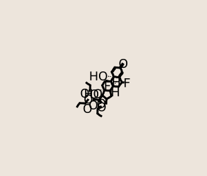 CCC(=O)OC(OC(=O)CC)(OC(=O)CC)C(=O)[C@@]1(O)C(C)C[C@H]2[C@@H]3CC(F)C4=CC(=O)C=C[C@]4(C)[C@@]3(F)C(O)C[C@@]21C